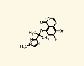 Cn1cnc(C(C)(C)Oc2cc(F)c(Br)c3nc[nH]c(=O)c23)n1